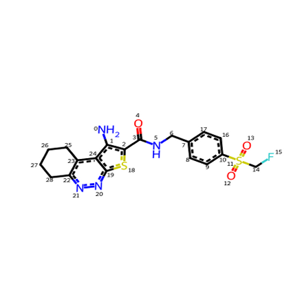 Nc1c(C(=O)NCc2ccc(S(=O)(=O)CF)cc2)sc2nnc3c(c12)CCCC3